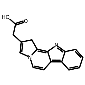 O=C(O)CC1=Cn2ccc3c4ccccc4nc-3c2C1